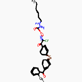 CCCCCCNNC(=O)O/N=C(\Cl)C(=O)c1ccc(Sc2ccc(C(=O)c3ccccc3C)cc2)cc1